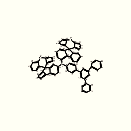 c1ccc(-c2cc(-c3ccccc3)cc(-c3ccc(N(c4ccc5c(c4)C4(c6ccccc6Oc6ccccc64)c4ccccc4-5)c4cccc5c4-c4ccccc4C54c5ccccc5Oc5ccccc54)cc3)c2)cc1